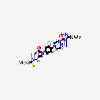 CNC(=N)NC(=O)N1CCN(c2c(F)cc(N3C[C@H](CNC(=S)OC)OC3=O)cc2F)CCN1